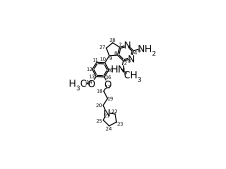 CNc1nc(N)nc2c1C(c1ccc(OC)c(OCCCN3CCCC3)c1)CC2